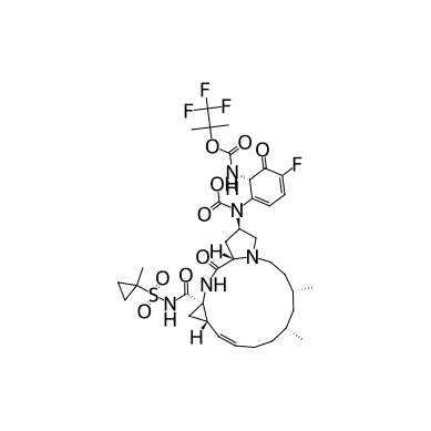 C[C@@H]1CC/C=C\[C@@H]2C[C@@]2(C(=O)NS(=O)(=O)C2(C)CC2)NC(=O)[C@@H]2C[C@@H](N(C(=O)O)C3=CC=C(F)C(=O)[C@H]3NC(=O)OC(C)(C)C(F)(F)F)CN2CC[C@H](C)C1